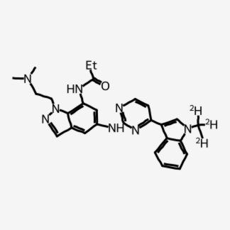 [2H]C([2H])([2H])n1cc(-c2ccnc(Nc3cc(NC(=O)CC)c4c(cnn4CCN(C)C)c3)n2)c2ccccc21